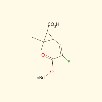 CCCCOC(=O)/C(F)=C\C1C(C(=O)O)C1(C)C